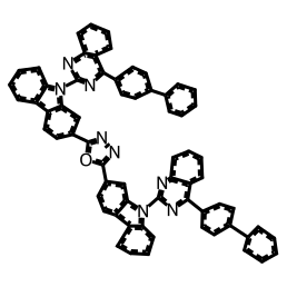 c1ccc(-c2ccc(-c3nc(-n4c5ccccc5c5ccc(-c6nnc(-c7ccc8c9ccccc9n(-c9nc(-c%10ccc(-c%11ccccc%11)cc%10)c%10ccccc%10n9)c8c7)o6)cc54)nc4ccccc34)cc2)cc1